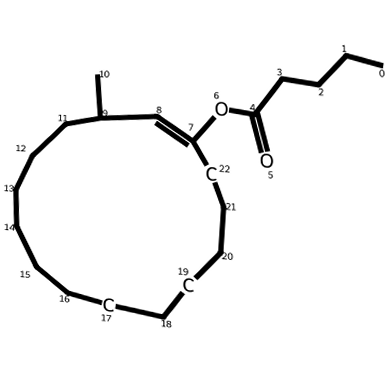 CCCCC(=O)O/C1=C/C(C)CCCCCCCCCCCC1